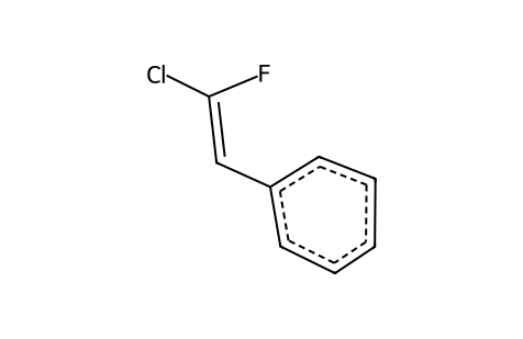 F/C(Cl)=C\c1ccccc1